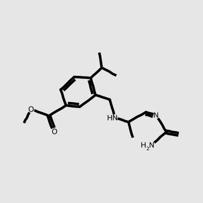 C=C(N)/N=C\C(C)NCc1cc(C(=O)OC)ccc1C(C)C